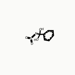 O=S(=O)=NC(O)(O)c1ccccc1